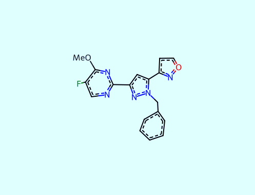 COc1nc(-c2cc(-c3ccon3)n(Cc3ccccc3)n2)ncc1F